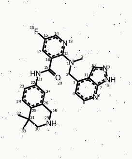 CN(Cc1ccnc2[nH]ncc12)c1ncc(F)cc1C(=O)Nc1ccc2c(c1)CNCC2(C)C